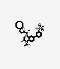 CC(=O)N1c2ccc(-c3cccc(NS(C)(=O)=O)c3)cc2N(C(=O)C2CCC3(CCCCCCC3)O2)C[C@@H]1C